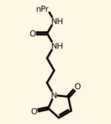 CCCNC(=O)NCCCN1C(=O)C=CC1=O